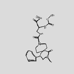 COC(=O)C(CNC(=O)N1CCC2(CC1)C(=O)N(C)CN2c1ccccc1)NC(=O)OC(C)(C)C